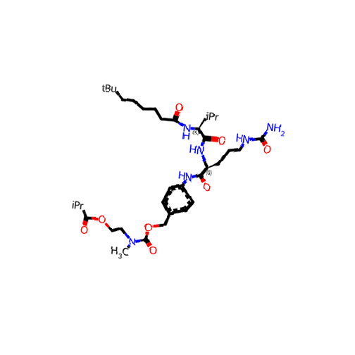 CC(C)C(=O)OCCN(C)C(=O)OCc1ccc(NC(=O)[C@H](CCCNC(N)=O)NC(=O)[C@@H](NC(=O)CCCCCC(C)(C)C)C(C)C)cc1